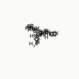 COc1ccc2[nH]c(C)c(CC(=O)N[C@@H](CCCCCC(=O)NOC(=O)C(F)(F)F)c3ncc(-c4ccc5ccccc5c4)[nH]3)c2c1